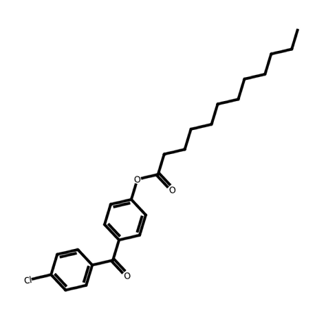 CCCCCCCCCCCC(=O)Oc1ccc(C(=O)c2ccc(Cl)cc2)cc1